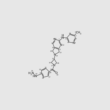 Cc1cncc(Nc2ncc3c(n2)CN(C2CN(C(=O)c4ccc(NN)cc4)C2)C3)c1